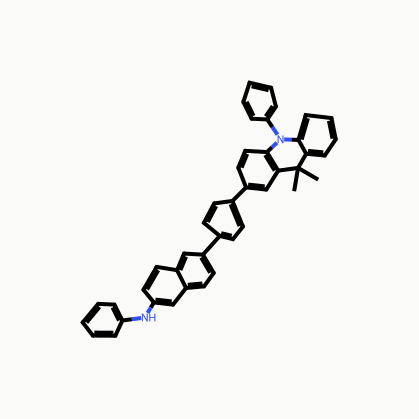 CC1(C)c2ccccc2N(c2ccccc2)c2ccc(-c3ccc(-c4ccc5cc(Nc6ccccc6)ccc5c4)cc3)cc21